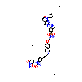 Cc1cc(S(=O)(=O)NCCOC2CCC3(CC2)CCN(CC#Cc2ccc4c(c2)n(C)c(=O)n4C2CCC(=O)NC2=O)CC3)ccc1Nc1ncc2ccc(=O)n(C3CCCC3)c2n1